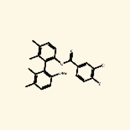 COc1ccc(C)c(C)c1-c1c(OC(=O)c2ccc(Cl)c(Cl)c2)ccc(C)c1C